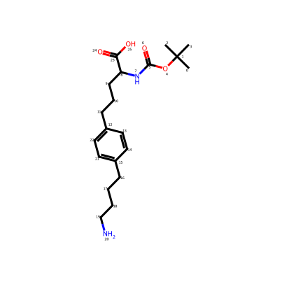 CC(C)(C)OC(=O)NC(CCCc1ccc(CCCCN)cc1)C(=O)O